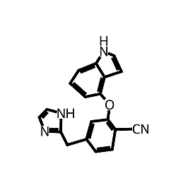 N#Cc1ccc(Cc2ncc[nH]2)cc1Oc1cccc2[nH]ccc12